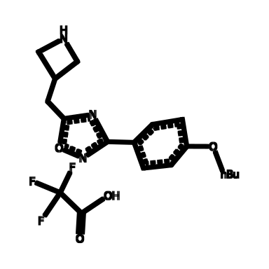 CCCCOc1ccc(-c2noc(CC3CNC3)n2)cc1.O=C(O)C(F)(F)F